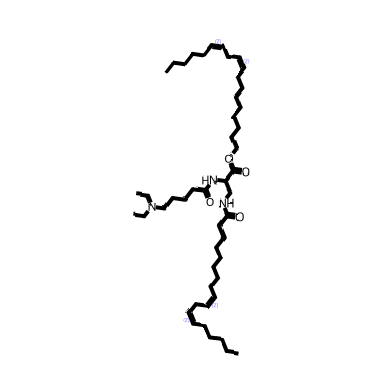 CCCCC/C=C\C/C=C\CCCCCCCCOC(=O)C(CNC(=O)CCCCCCC/C=C\C/C=C\CCCCC)NC(=O)CCCCN(CC)CC